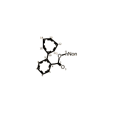 CCCCCCCCCOC(=O)c1ccccc1-c1ccccc1